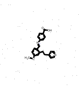 COc1ccc(/C=N/c2ccc(C(=O)O)cc2)c(CCc2ccncc2)c1